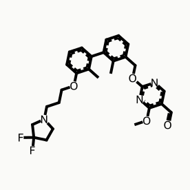 COc1nc(OCc2cccc(-c3cccc(OCCCN4CCC(F)(F)C4)c3C)c2C)ncc1C=O